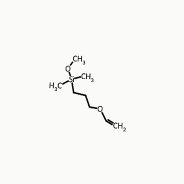 C=COCCC[Si](C)(C)OC